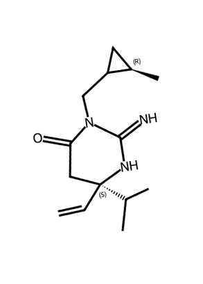 C=C[C@@]1(C(C)C)CC(=O)N(CC2C[C@H]2C)C(=N)N1